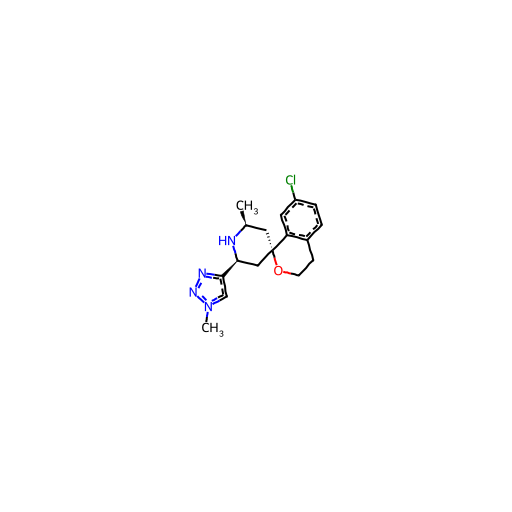 C[C@H]1C[C@@]2(C[C@@H](c3cn(C)nn3)N1)OCCc1ccc(Cl)cc12